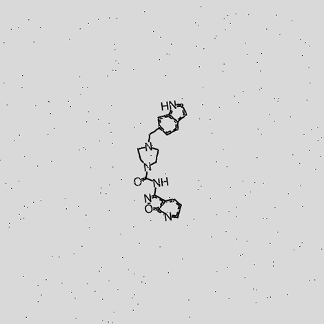 O=C(Nc1noc2ncccc12)N1CCN(Cc2ccc3cc[nH]c3c2)CC1